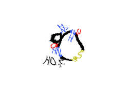 NC1CCCC12CCNC(=O)CCSSCC(C(=O)O)NC2=O